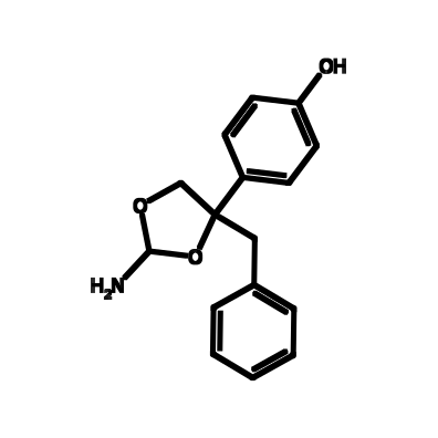 NC1OCC(Cc2ccccc2)(c2ccc(O)cc2)O1